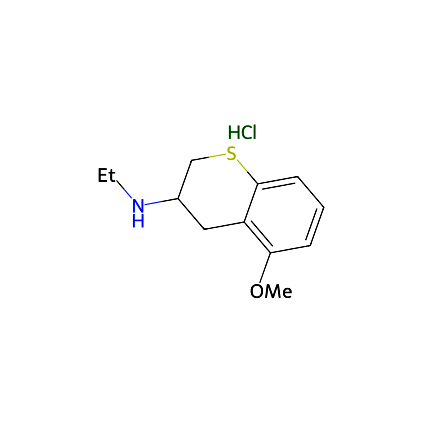 CCNC1CSc2cccc(OC)c2C1.Cl